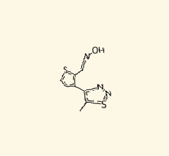 Cc1snnc1-c1ccsc1C=NO